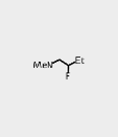 CCC(F)CNC